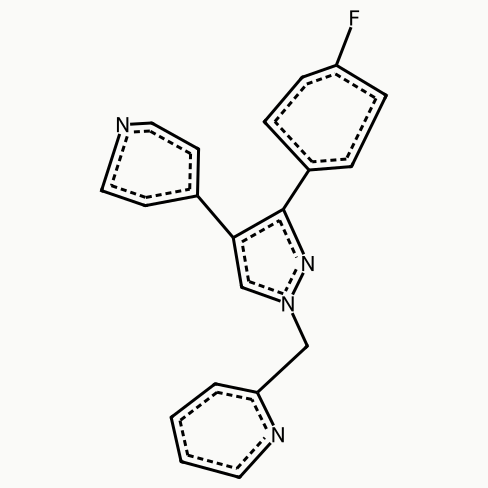 Fc1ccc(-c2nn(Cc3ccccn3)cc2-c2ccncc2)cc1